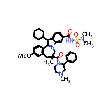 COc1ccc2c(c1)CC(C)(C(=O)N1CCN(C)CC1C1=CCCC=C1)Cn1c-2c(C2CCCCC2)c2ccc(C(=O)NS(=O)(=O)N(C)C)cc21